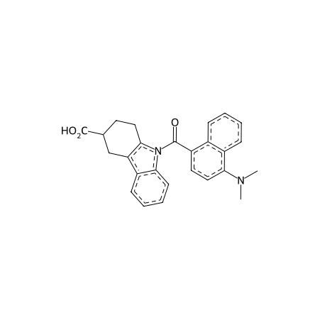 CN(C)c1ccc(C(=O)n2c3c(c4ccccc42)CC(C(=O)O)CC3)c2ccccc12